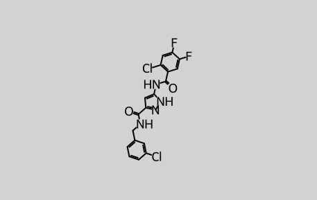 O=C(NCc1cccc(Cl)c1)c1cc(NC(=O)c2cc(F)c(F)cc2Cl)[nH]n1